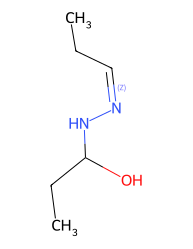 CC/C=N\NC(O)CC